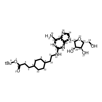 CC(C)(C)OC(=O)CCC1CCC(CCNc2nc(N)c3ncn([C@@H]4O[C@H](CO)[C@@H](O)[C@H]4O)c3n2)CC1